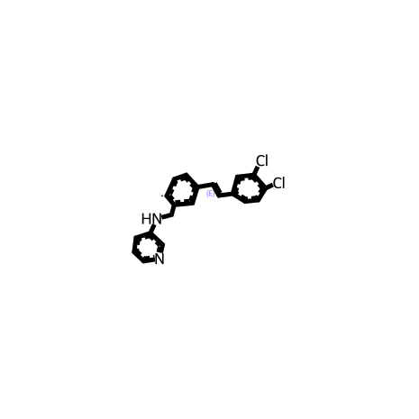 Clc1ccc(/C=C/c2cc[c]c(CNc3cccnc3)c2)cc1Cl